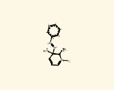 NC1[N+]([O-])=CC=CC1(N)/N=N/c1cccnc1